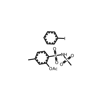 CC(=O)Oc1cc(C)ccc1S(=O)(=O)NS(C)(=O)=O.Ic1ccccc1